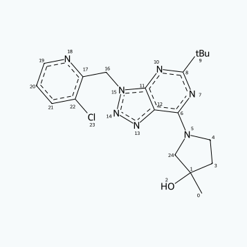 CC1(O)CCN(c2nc(C(C)(C)C)nc3c2nnn3Cc2ncccc2Cl)C1